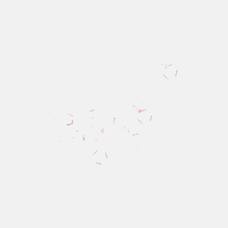 CO[C@H]1C(=O)[C@]2(C)[C@@H](OC)C[C@H]3OC[C@@]3(OC(C)=O)[C@H]2[C@H](OC(=O)c2ccccc2)[C@]2(O)CC(OC(=O)C(OC(=O)OCCSSc3ccccn3)[C@@H](NC(=O)OC(C)(C)C)c3ccccc3)C(C)=C1C2(C)C